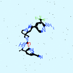 C[C@@H](NC(=O)N1CC2(CCn3nc(-c4cnc(N)c(C(F)(F)F)c4)cc32)C1)c1ccc(C#N)nc1